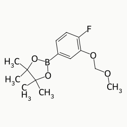 COCOc1cc(B2OC(C)(C)C(C)(C)O2)ccc1F